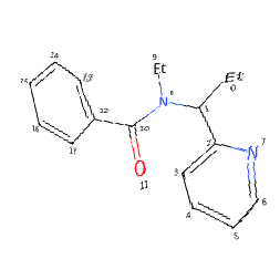 [CH2]CC(c1ccccn1)N(CC)C(=O)c1ccccc1